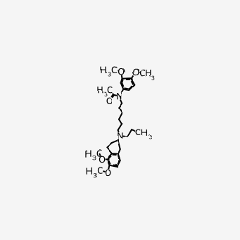 CCCN(CCCCCCN(C(C)=O)c1ccc(OC)c(OC)c1)[C@H]1CCc2c(ccc(OC)c2OC)C1